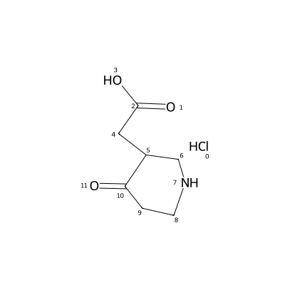 Cl.O=C(O)CC1CNCCC1=O